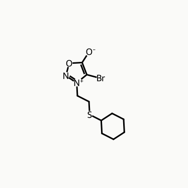 [O-]c1on[n+](CCSC2CCCCC2)c1Br